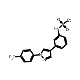 CCS(=O)(=O)Nc1cccc(-c2cnn(-c3ccc(C(F)(F)F)cc3)c2)c1